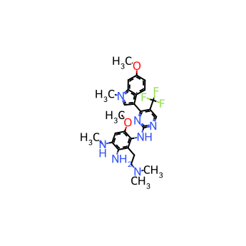 CNc1cc(OC)c(Nc2ncc(C(F)(F)F)c(-c3cn(C)c4cc(OC)ccc34)n2)c(CCN(C)C)c1N